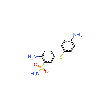 Nc1ccc(Sc2ccc(N)c(S(N)(=O)=O)c2)cc1